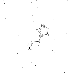 C=C[CH]n1ccnn1